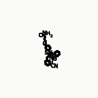 N#Cc1cccc(CC(NS(=O)(=O)c2ccccc2)c2nc3ccc(OCCCC(N)=O)cc3s2)c1